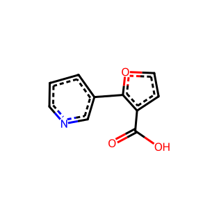 O=C(O)c1ccoc1-c1cccnc1